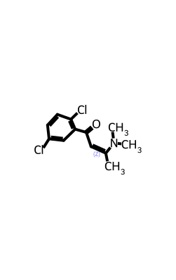 C/C(=C/C(=O)c1cc(Cl)ccc1Cl)N(C)C